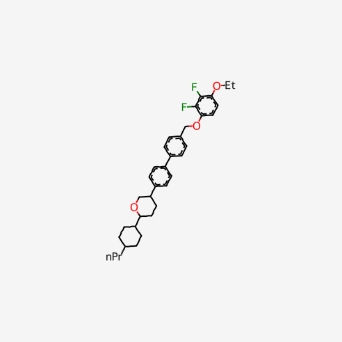 CCCC1CCC(C2CCC(c3ccc(-c4ccc(COc5ccc(OCC)c(F)c5F)cc4)cc3)CO2)CC1